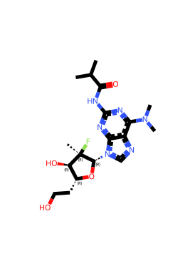 CC(C)C(=O)Nc1nc(N(C)C)c2ncn([C@@H]3O[C@H](CCO)[C@@H](O)[C@@]3(C)F)c2n1